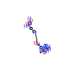 CC(C)n1nc(-c2noc(C3CC3)c2-c2ncc(C3CN(C(=O)CCCCCCCN4CCC(c5ccc(NC6CCC(=O)NC6=O)cc5)CC4)C3)cn2)c2c(N)ncnc21